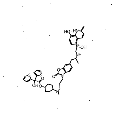 C=C1C=Cc2c([C@H](O)CNC(C)Cc3ccc4c(c3)oc(=O)n4CCCN(C)C3CCC(OC(=O)C(O)(c4cccs4)c4cccs4)CC3)ccc(O)c2N1